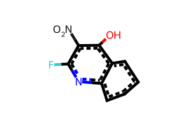 O=[N+]([O-])c1c(F)nc2ccccc2c1O